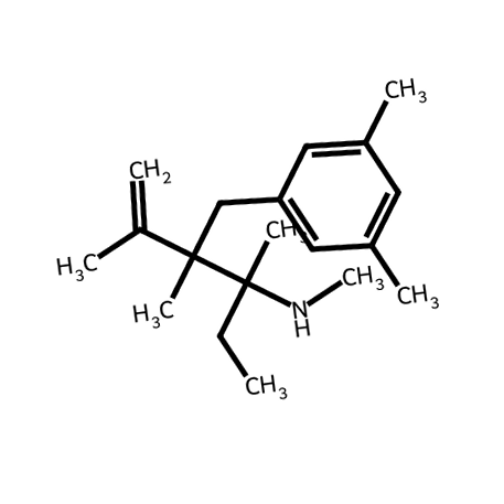 C=C(C)C(C)(Cc1cc(C)cc(C)c1)C(C)(CC)NC